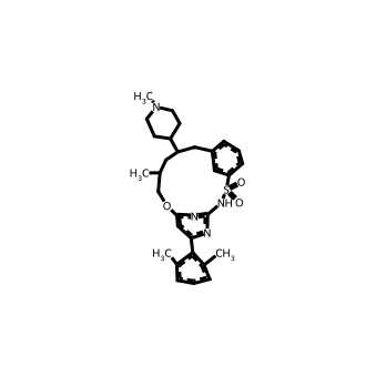 Cc1cccc(C)c1-c1cc2nc(n1)NS(=O)(=O)c1cccc(c1)CC(C1CCN(C)CC1)CC(C)CO2